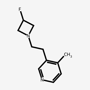 Cc1ccncc1CCN1CC(F)C1